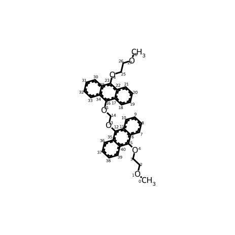 COCCOc1c2ccccc2c(OCOc2c3ccccc3c(OCCOC)c3ccccc23)c2ccccc12